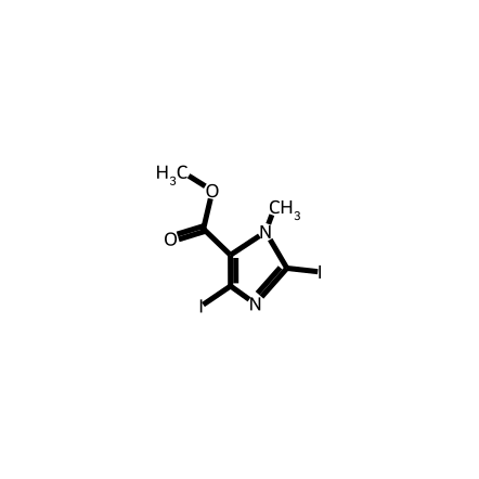 COC(=O)c1c(I)nc(I)n1C